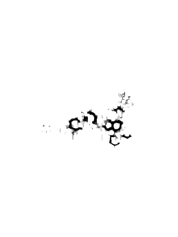 C=CC(=O)N1CCCC[C@H]1c1ccc(N2C[C@H](CS(C)(=O)=O)[C@H]2C)c2cnc(Nc3ccnc(N4CC[C@@H](OC)[C@@H](F)C4)n3)cc12